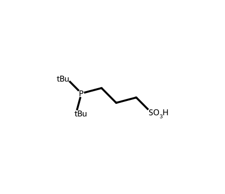 CC(C)(C)P(CCCS(=O)(=O)O)C(C)(C)C